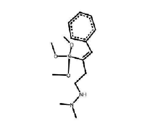 CO[Si](OC)(OC)C(=Cc1ccccc1)CCNN(C)C